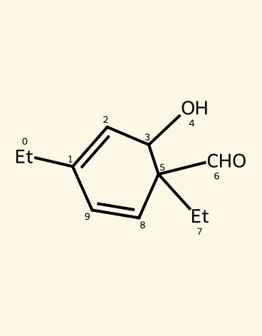 CCC1=CC(O)C(C=O)(CC)C=C1